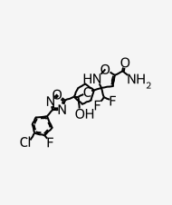 NC(=O)C1=CC(C(F)F)(C23CCC(c4nc(-c5ccc(Cl)c(F)c5)no4)(CC2)C(O)C3)NO1